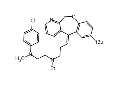 CCN(CC/C=C1/c2cc(C(C)(C)C)ccc2OCc2ncccc21)CCN(C)c1ccc(Cl)cc1